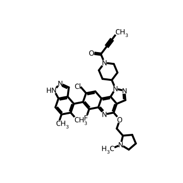 CC#CC(=O)N1CCC(n2ncc3c(OCC4CCCN4C)nc4c(F)c(-c5c(C)c(C)cc6[nH]ncc56)c(Cl)cc4c32)CC1